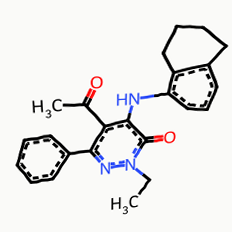 CCn1nc(-c2ccccc2)c(C(C)=O)c(Nc2cccc3c2CCCC3)c1=O